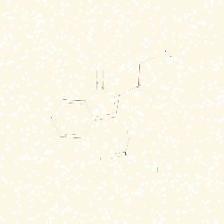 CC(C)(C)C(=O)Oc1c(C(=O)CC#N)[nH]c2ccccc12